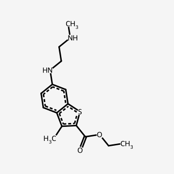 CCOC(=O)c1sc2cc(NCCNC)ccc2c1C